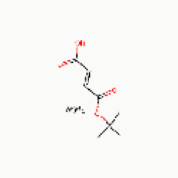 CC(C)(C)OC(=O)/C=C/C(=O)O.[MgH2]